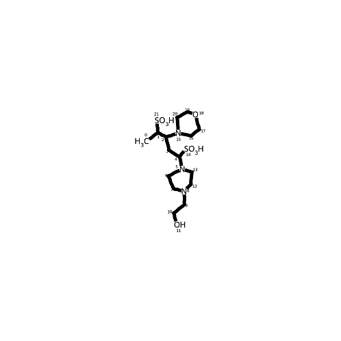 CC(C(CC(N1CCN(CCO)CC1)S(=O)(=O)O)N1CCOCC1)S(=O)(=O)O